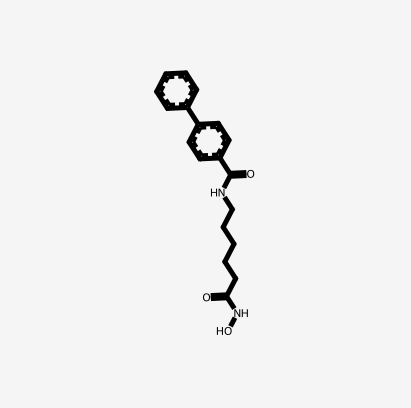 O=C(CCCCCNC(=O)c1ccc(-c2ccccc2)cc1)NO